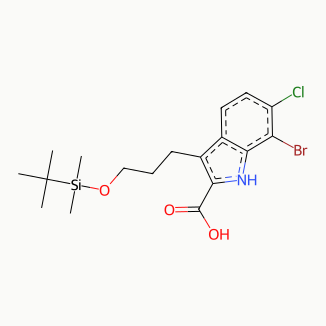 CC(C)(C)[Si](C)(C)OCCCc1c(C(=O)O)[nH]c2c(Br)c(Cl)ccc12